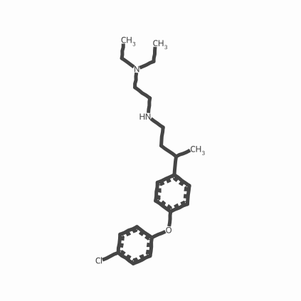 CCN(CC)CCNCCC(C)c1ccc(Oc2ccc(Cl)cc2)cc1